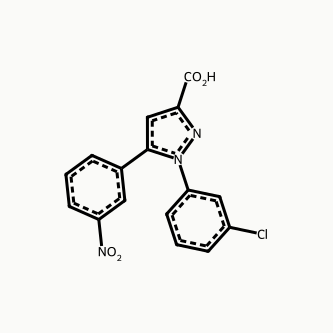 O=C(O)c1cc(-c2cccc([N+](=O)[O-])c2)n(-c2cccc(Cl)c2)n1